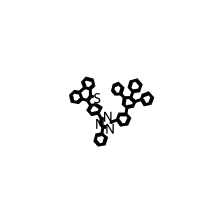 c1ccc(-c2nc(-c3cccc(-c4cc(-c5ccccc5)c(-c5ccccc5)c(-c5ccccc5)c4)c3)nc(-c3ccc4c(c3)sc3c5ccccc5c5ccccc5c43)n2)cc1